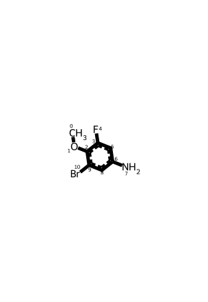 COc1c(F)cc(N)cc1Br